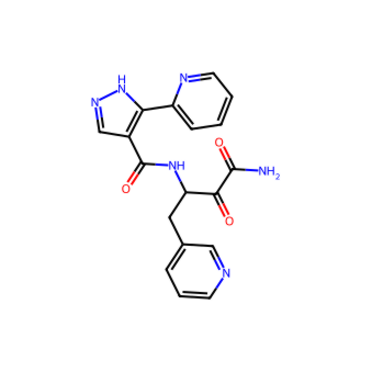 NC(=O)C(=O)C(Cc1cccnc1)NC(=O)c1cn[nH]c1-c1ccccn1